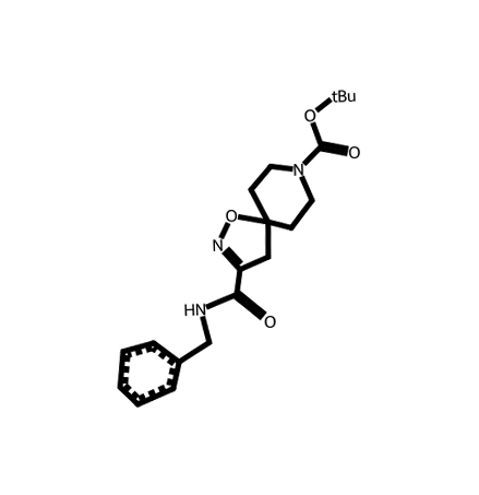 CC(C)(C)OC(=O)N1CCC2(CC1)CC(C(=O)NCc1ccccc1)=NO2